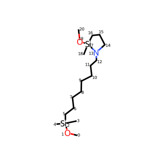 CO[Si](C)(C)CCCCCCCCN1CCC[Si]1(C)OC